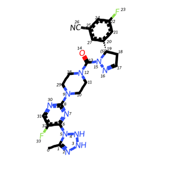 CC1=NNNN1c1nc(N2CCN(C(=O)N3N=CC[C@H]3c3cc(F)cc(C#N)c3)CC2)ncc1F